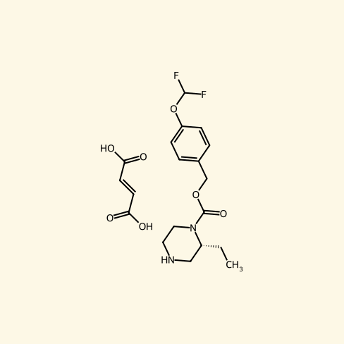 CC[C@@H]1CNCCN1C(=O)OCc1ccc(OC(F)F)cc1.O=C(O)C=CC(=O)O